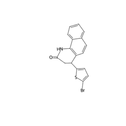 O=C1CC(c2ccc(Br)s2)c2ccc3ccccc3c2N1